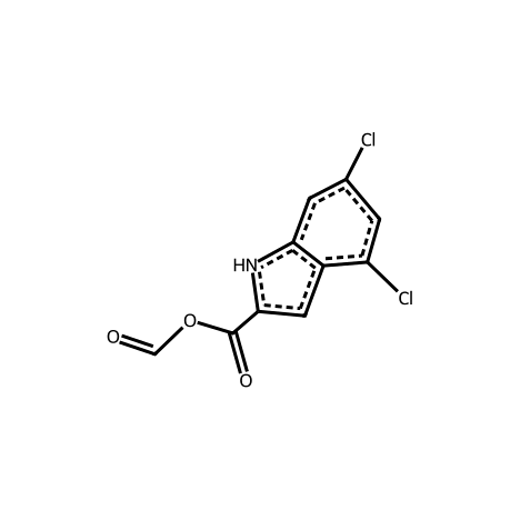 O=COC(=O)c1cc2c(Cl)cc(Cl)cc2[nH]1